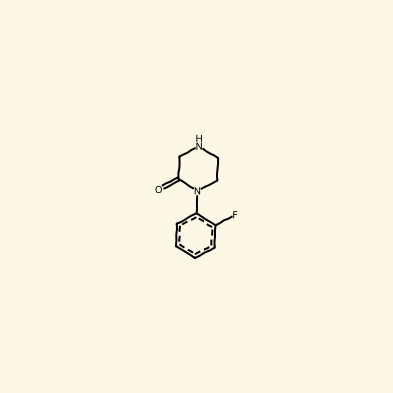 O=C1CNCCN1c1ccccc1F